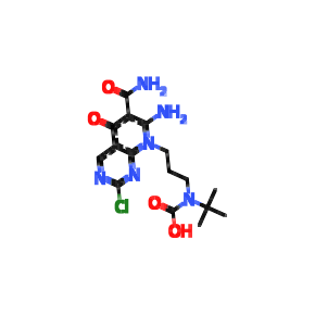 CC(C)(C)N(CCCn1c(N)c(C(N)=O)c(=O)c2cnc(Cl)nc21)C(=O)O